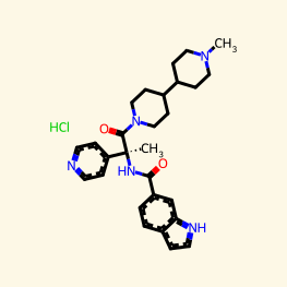 CN1CCC(C2CCN(C(=O)[C@@](C)(NC(=O)c3ccc4cc[nH]c4c3)c3ccncc3)CC2)CC1.Cl